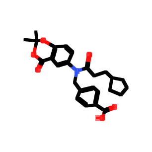 CC1(C)OC(=O)c2cc(N(Cc3ccc(C(=O)O)cc3)C(=O)CCC3CCCC3)ccc2O1